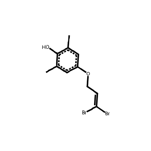 Cc1cc(OCC=C(Br)Br)cc(C)c1O